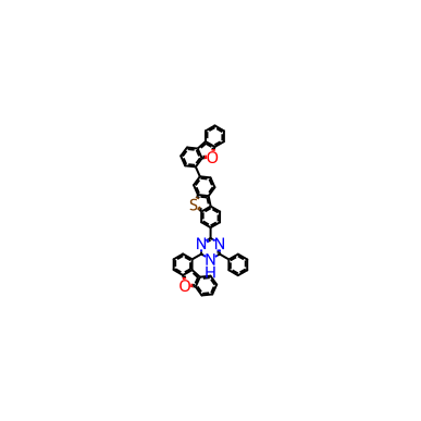 c1ccc(C2=NC(c3ccc4c(c3)sc3cc(-c5cccc6c5oc5ccccc56)ccc34)=NC(c3cccc4oc5ccccc5c34)N2)cc1